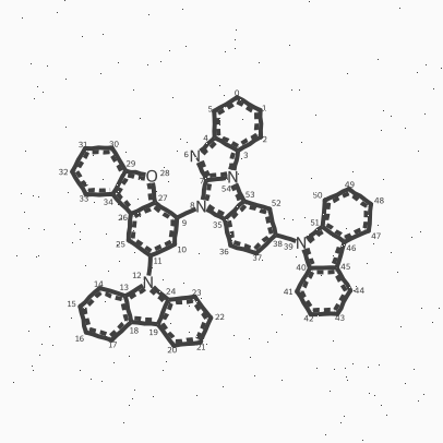 c1ccc2c(c1)nc1n(-c3cc(-n4c5ccccc5c5ccccc54)cc4c3oc3ccccc34)c3ccc(-n4c5ccccc5c5ccccc54)cc3n21